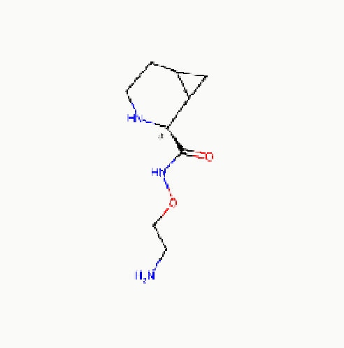 NCCONC(=O)[C@H]1NCCC2CC21